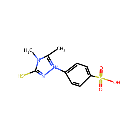 Cc1n(C)c(S)n[n+]1-c1ccc(S(=O)(=O)O)cc1